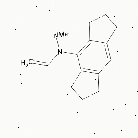 C=CN(NC)c1c2c(cc3c1CCC3)CCC2